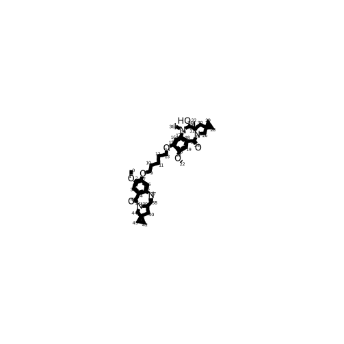 COc1cc2c(cc1OCCCCCOc1cc3c(cc1OC)C(=O)N1CC4(CC4)C[C@@]1(C)[C@H](O)N3I)N=CC1CC3(CC3)CN1C2=O